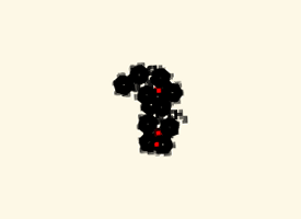 Cc1ccc2c(oc3ccccc32)c1N(c1ccc2ccc3c(N(c4cccc5c4oc4ccccc45)c4c(C)ccc5c4oc4ccccc45)ccc4ccc1c2c43)c1cccc2c1oc1ccccc12